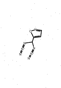 [N-]=[N+]=NC(N=[N+]=[N-])c1ccno1